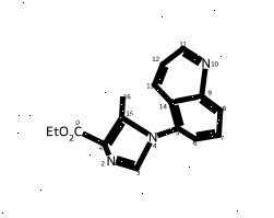 CCOC(=O)c1ncn(-c2cccc3ncccc23)c1C